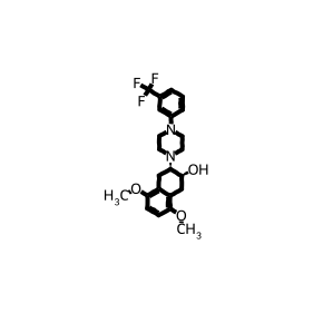 COc1ccc(OC)c2c1C[C@H](O)[C@@H](N1CCN(c3cccc(C(F)(F)F)c3)CC1)C2